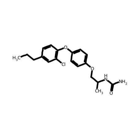 CCCc1ccc(Oc2ccc(OCC(C)NC(N)=O)cc2)c(Cl)c1